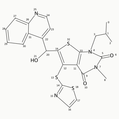 CC(C)Cn1c(=O)n(C)c(=O)c2c(Sc3nccs3)c(C(O)c3ccnc4ccccc34)sc21